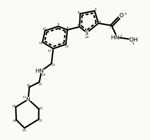 O=C(NO)c1ccc(-c2cccc(CNCCN3CCCCC3)c2)s1